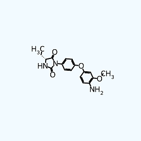 CC[C@H]1NC(=O)N(c2ccc(Oc3ccc(N)c(OC)c3)cc2)C1=O